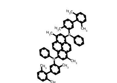 Cc1ccc(-c2c(C)cccc2C)cc1N(c1ccccc1)c1cc(C)c2ccc3c(N(c4ccccc4)c4cc(-c5c(C)cccc5C)ccc4C)cc(C)c4ccc1c2c43